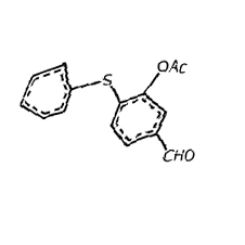 CC(=O)Oc1cc(C=O)ccc1Sc1ccccc1